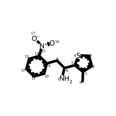 Cc1ccsc1C(N)Cc1ccccc1[N+](=O)[O-]